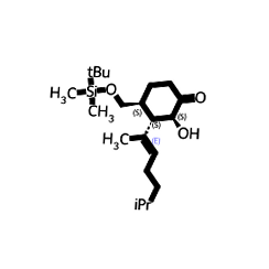 C/C(=C\CCC(C)C)[C@@H]1[C@@H](CO[Si](C)(C)C(C)(C)C)CCC(=O)[C@H]1O